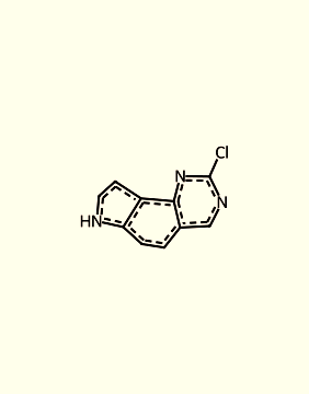 Clc1ncc2ccc3[nH]ccc3c2n1